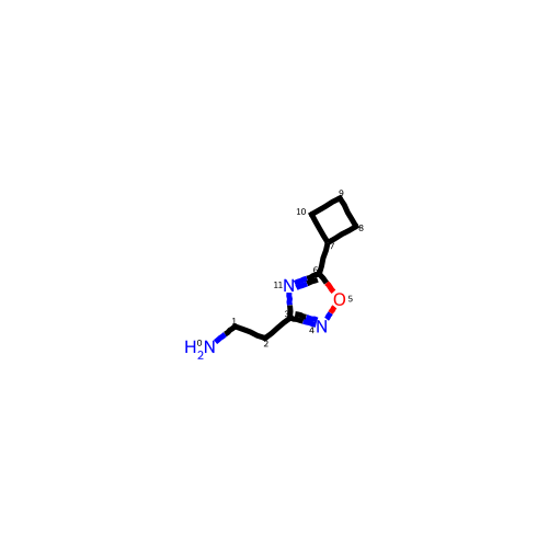 NCCc1noc(C2CCC2)n1